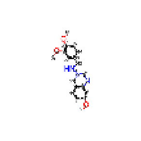 COc1ccc2c(c1)N=CN(NCc1ccc(OC)c(OC)c1)C2